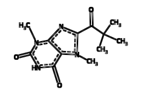 Cn1c(C(=O)C(C)(C)C)nc2c1c(=O)[nH]c(=O)n2C